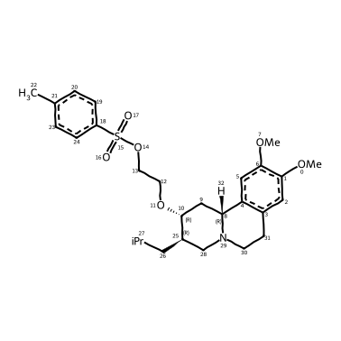 COc1cc2c(cc1OC)[C@H]1C[C@@H](OCCOS(=O)(=O)c3ccc(C)cc3)[C@H](CC(C)C)CN1CC2